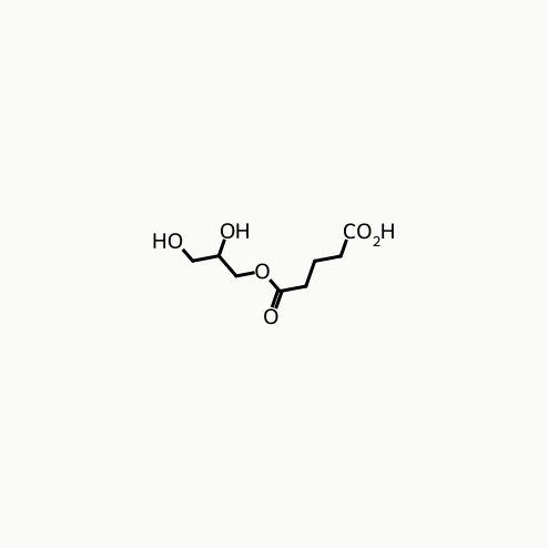 O=C(O)CCCC(=O)OCC(O)CO